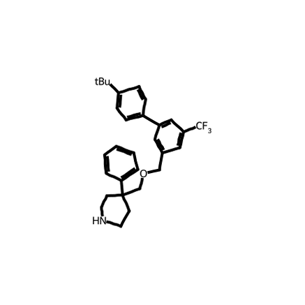 CC(C)(C)c1ccc(-c2cc(COCC3(c4ccccc4)CCNCC3)cc(C(F)(F)F)c2)cc1